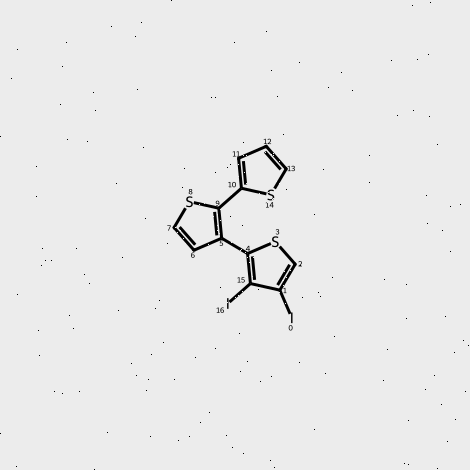 Ic1csc(-c2ccsc2-c2cccs2)c1I